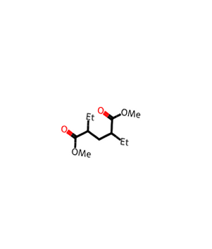 CCC(CC(CC)C(=O)OC)C(=O)OC